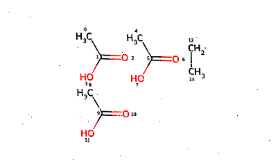 CC(=O)O.CC(=O)O.CC(=O)O.[CH2]C